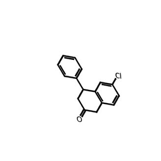 O=C1Cc2ccc(Cl)cc2C(c2ccccc2)C1